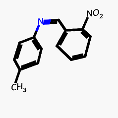 Cc1ccc(/N=C\c2ccccc2[N+](=O)[O-])cc1